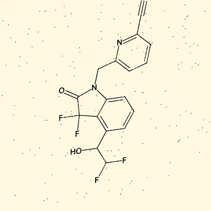 N#Cc1cccc(CN2C(=O)C(F)(F)c3c(C(O)C(F)F)cccc32)n1